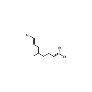 CCC(=CCCC(C)CC=CC(C)=O)CC